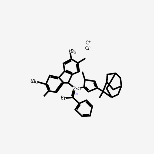 CC/[C](c1ccccc1)=[Zr+2](/[C]1=CC(C2(C)C3CC4CC(C3)CC2C4)=CC1C)[CH]1c2cc(C)c(C(C)(C)C)cc2-c2cc(C(C)(C)C)c(C)cc21.[Cl-].[Cl-]